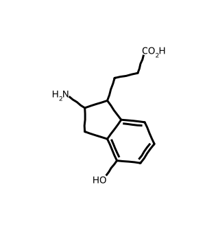 NC1Cc2c(O)cccc2C1CCC(=O)O